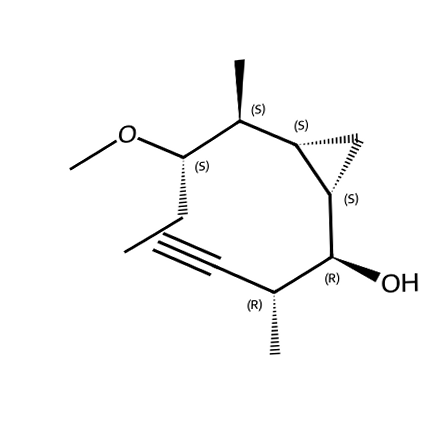 C#C[C@@H](C)[C@H](O)[C@H]1C[C@H]1[C@H](C)[C@H](CC)OC